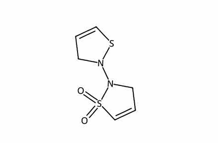 O=S1(=O)C=CCN1N1CC=CS1